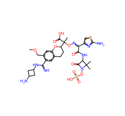 COCc1cc2c(cc1C(=N)NC1CC(N)C1)CCC(C(C)(ON=C(C(=O)NC1C(=O)N(OS(=O)(=O)O)C1(C)C)c1csc(N)n1)C(=O)O)O2